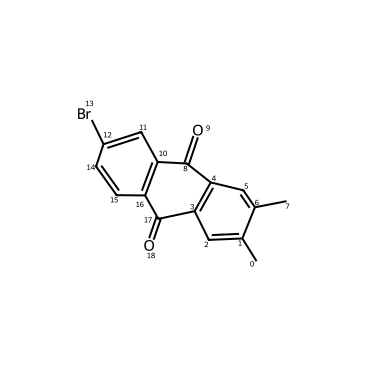 Cc1cc2c(cc1C)C(=O)c1cc(Br)ccc1C2=O